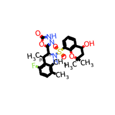 Cc1ccc(F)c([C@@H](C)[C@H](NS(=O)(=O)c2cccc3c2OC(C)(C)CC3O)c2n[nH]c(=O)o2)c1C